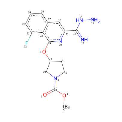 CC(C)(C)OC(=O)N1CCC(Oc2nc(C(=N)NN)cc3cccc(F)c23)C1